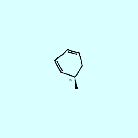 C[C@H]1C=CC=CC1